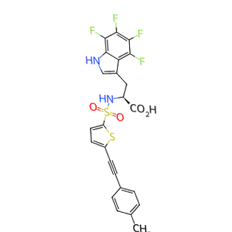 Cc1ccc(C#Cc2ccc(S(=O)(=O)N[C@@H](Cc3c[nH]c4c(F)c(F)c(F)c(F)c34)C(=O)O)s2)cc1